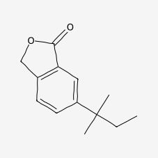 CCC(C)(C)c1ccc2c(c1)C(=O)OC2